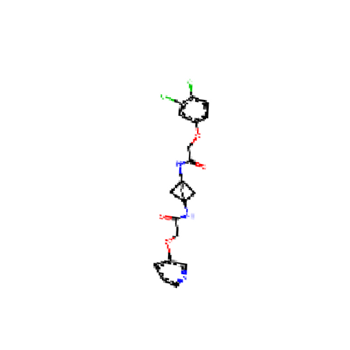 O=C(COc1cccnc1)NC12CC(NC(=O)COc3ccc(Cl)c(Cl)c3)(C1)C2